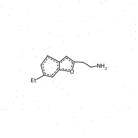 CCc1ccc2cc(CCN)oc2c1